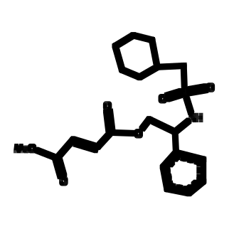 COC(=O)/C=C/C(=O)OCC(NS(=O)(=O)CC1CCCCC1)c1ccccc1